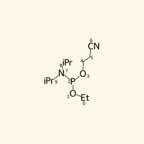 [CH2]COP(OCCC#N)N(C(C)C)C(C)C